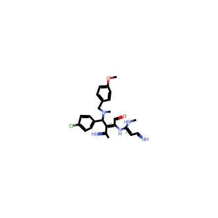 CN/C(=C\C=N)N/C(C=O)=C(\C(C)=N)C(c1ccc(Cl)cc1)N(C)Cc1ccc(OC)cc1